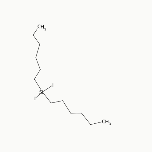 CCCCCC[Si](I)(I)CCCCCC